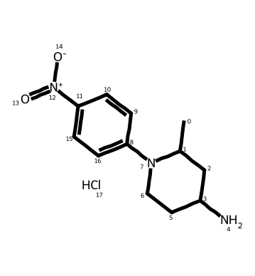 CC1CC(N)CCN1c1ccc([N+](=O)[O-])cc1.Cl